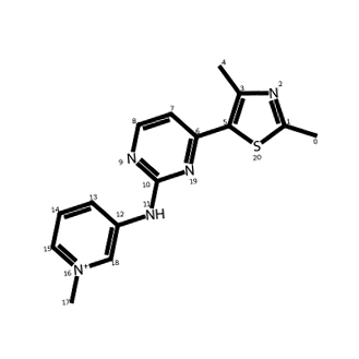 Cc1nc(C)c(-c2ccnc(Nc3ccc[n+](C)c3)n2)s1